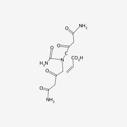 C=CC(=O)O.NC(=O)CC(=O)CN(CC(=O)CC(N)=O)C(N)=O